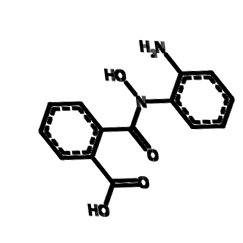 Nc1ccccc1N(O)C(=O)c1ccccc1C(=O)O